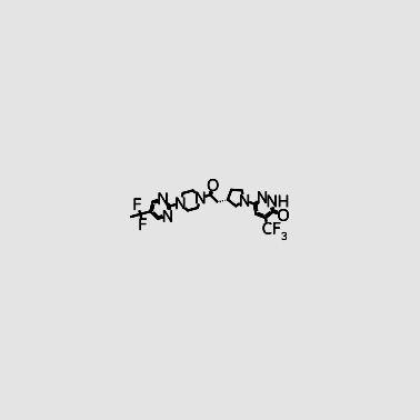 CC(F)(F)c1cnc(N2CCN(C(=O)C[C@@H]3CCN(c4cc(C(F)(F)F)c(=O)[nH]n4)C3)CC2)nc1